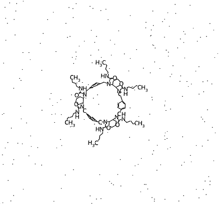 CCCCNC(=O)N1Cc2ccc(cc2)CN(C(=O)NCCCC)C2CCCCC2N(C(=O)NCCCC)Cc2ccc(cc2)CN(C(=O)NCCCC)C2CCCCC2N(C(=O)NCCCC)Cc2ccc(cc2)CN(C(=O)NCCCC)C2CCCCC21